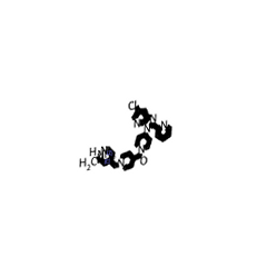 C=C(N)/C=C(\C=C/N)CN1CCC(C(=O)N2CCC(n3c(-c4ccccn4)nc4cc(Cl)cnc43)CC2)CC1